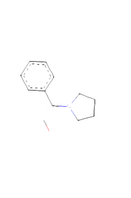 OC[C@H](c1ccccc1)N1CC[C@H](Cl)C1